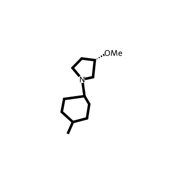 CO[C@H]1CCN(C2CCC(C)CC2)C1